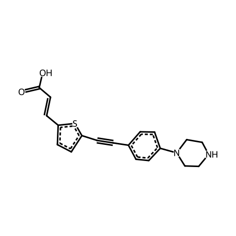 O=C(O)C=Cc1ccc(C#Cc2ccc(N3CCNCC3)cc2)s1